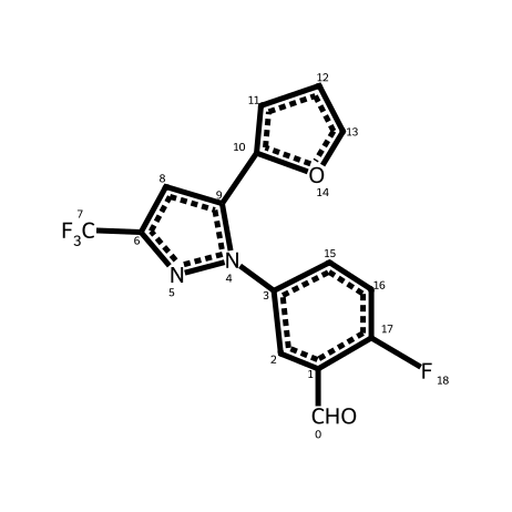 O=Cc1cc(-n2nc(C(F)(F)F)cc2-c2ccco2)ccc1F